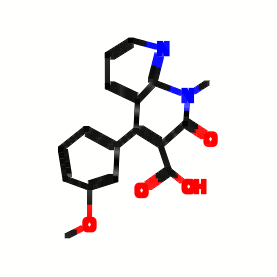 COc1cccc(-c2c(C(=O)O)c(=O)n(C)c3ncccc23)c1